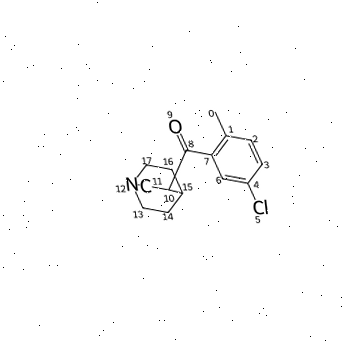 Cc1ccc(Cl)cc1C(=O)C1CN2CCC1CC2